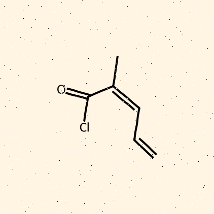 C=CC=C(C)C(=O)Cl